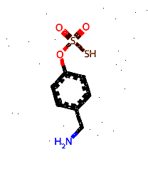 NCc1ccc(OS(=O)(=O)S)cc1